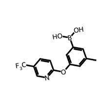 Cc1cc(Oc2ccc(C(F)(F)F)cn2)cc(B(O)O)c1